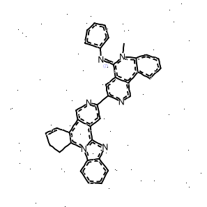 Cn1/c(=N\c2ccccc2)c2cc(-c3cc4c(cn3)c3c(n5c6ccccc6nc45)CCC=C3)ncc2c2ccccc21